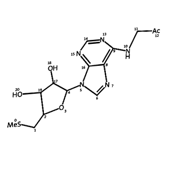 CSCC1OC(n2cnc3c(NCC(C)=O)ncnc32)C(O)C1O